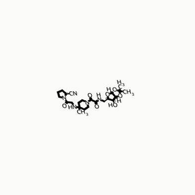 CC1(NCC(=O)N2CCC[C@H]2C#N)CCN(C(=O)C(=O)NC[C@H]2O[C@@H]3OC(C)(C)O[C@@H]3[C@H]2O)CC1